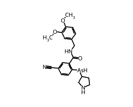 COc1ccc(CNC(=O)c2cc(C#N)ccc2[AsH]C2CCNC2)cc1OC